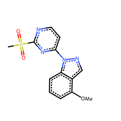 COc1cccc2c1cnn2-c1ccnc(S(C)(=O)=O)n1